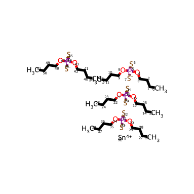 CCCCOP(=S)([S-])OCCCC.CCCCOP(=S)([S-])OCCCC.CCCCOP(=S)([S-])OCCCC.CCCCOP(=S)([S-])OCCCC.[Sn+4]